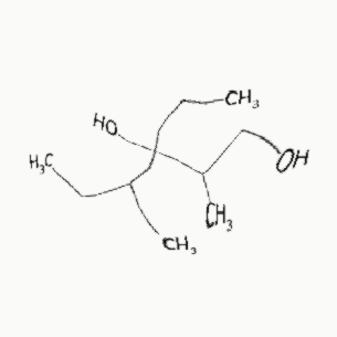 CCC(C)C(O)(CC)C(C)CO